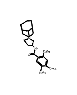 CNc1cc(C(=O)N[C@H]2CCN(C3C4CCCC3CCC4)C2)c(OC)cc1OC